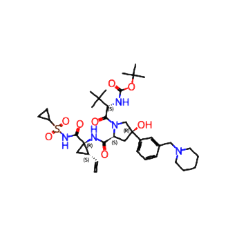 C=C[C@@H]1C[C@]1(NC(=O)[C@@H]1C[C@@](O)(c2cccc(CN3CCCCC3)c2)CN1C(=O)[C@@H](NC(=O)OC(C)(C)C)C(C)(C)C)C(=O)NS(=O)(=O)C1CC1